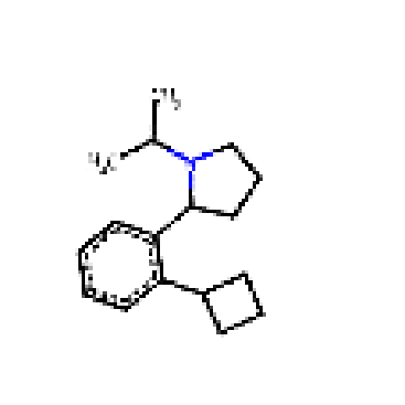 CC(C)N1CCCC1c1ccccc1C1CCC1